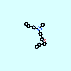 c1ccc(-c2nc(-c3ccc(-c4ccc5ccccc5c4)cc3)nc(-c3ccc(-c4ccc5c(c4)oc4cccc(-c6ccc7ccccc7c6)c45)cc3)n2)cc1